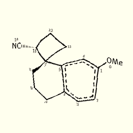 COc1ccc2c(c1)[C@@]1(CCC2)CC[C@H]1C#N